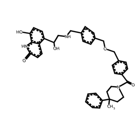 CC1(c2ccccc2)CCN(C(=O)c2ccc(COCc3ccc(CNCC(O)c4ccc(O)c5[nH]c(=O)ccc45)cc3)cc2)CC1